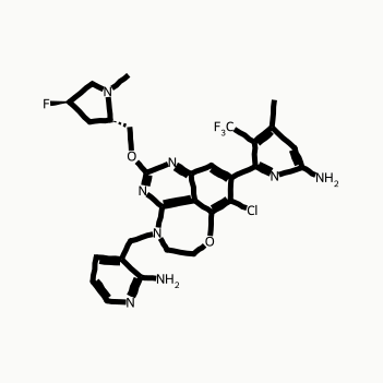 Cc1cc(N)nc(-c2cc3nc(OC[C@@H]4C[C@@H](F)CN4C)nc4c3c(c2Cl)OCCN4Cc2cccnc2N)c1C(F)(F)F